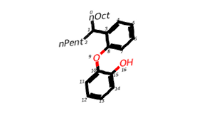 CCCCCCCCC(CCCCC)c1ccccc1Oc1ccccc1O